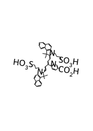 CC1(C)C(/C=C/C(=C/C=C2/N(CCCS(=O)(=O)O)c3ccc4ccccc4c3C2(C)C)c2ccc(C(=O)O)cn2)=[N+](CCCS(=O)(=O)O)c2ccc3ccccc3c21